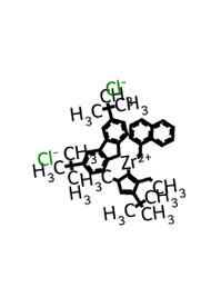 CCC1=[C](/[Zr+2](=[CH]/c2cccc3ccccc23)[CH]2c3ccc(C(C)(C)C)cc3-c3cc(C(C)(C)C)ccc32)C(C)C=C1C(C)(C)C.[Cl-].[Cl-]